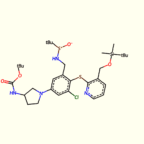 CC(C)(C)OC(=O)NC1CCN(c2cc(Cl)c(Sc3ncccc3CO[Si](C)(C)C(C)(C)C)c(CN[S+]([O-])C(C)(C)C)c2)C1